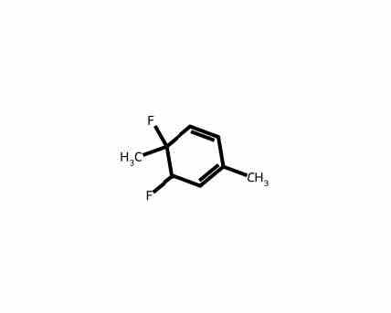 CC1=CC(F)C(C)(F)C=C1